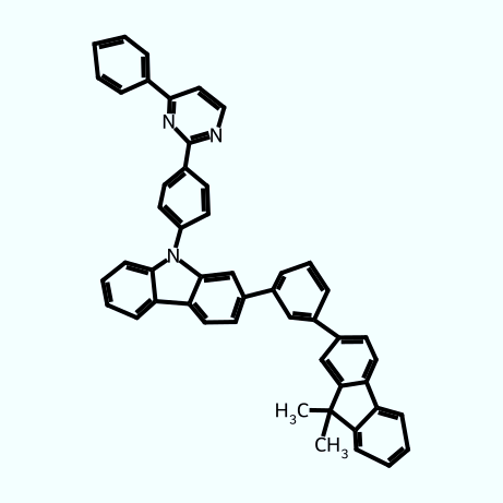 CC1(C)c2ccccc2-c2ccc(-c3cccc(-c4ccc5c6ccccc6n(-c6ccc(-c7nccc(-c8ccccc8)n7)cc6)c5c4)c3)cc21